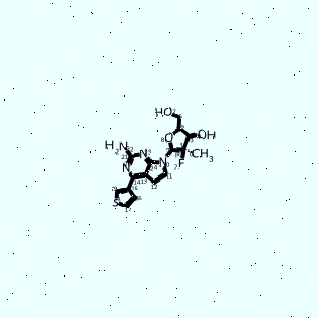 C[C@@]1(F)C(O)C(CO)OC1n1ccc2c(-c3ccsc3)nc(N)nc21